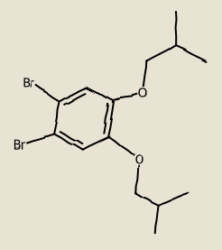 CC(C)COc1cc(Br)c(Br)cc1OCC(C)C